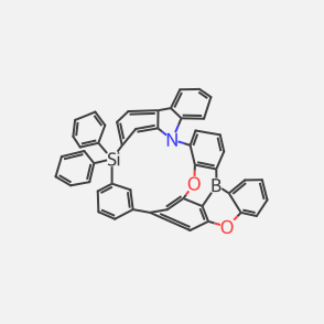 c1ccc([Si]2(c3ccccc3)c3cccc(c3)-c3cc4c5c(c3)Oc3c(cccc3-n3c6ccccc6c6ccc2cc63)B5c2ccccc2O4)cc1